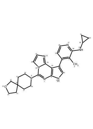 Cc1c(-c2c[nH]c3nc(N4CCC5(CCOC5)CC4)n4ccnc4c23)ccnc1NC1CC1